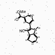 COC(=O)c1cncc(-c2c(C#N)c3ccccc3n2C)c1